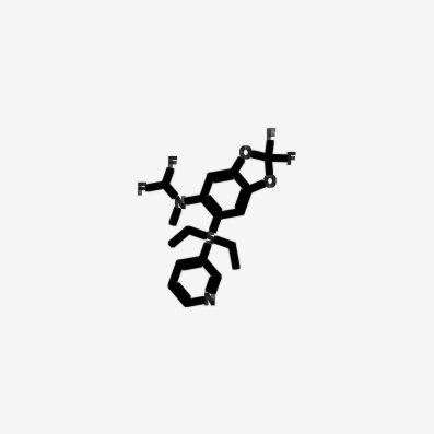 CCS(CC)(c1cccnc1)c1cc2c(cc1N(C)C(F)F)OC(F)(F)O2